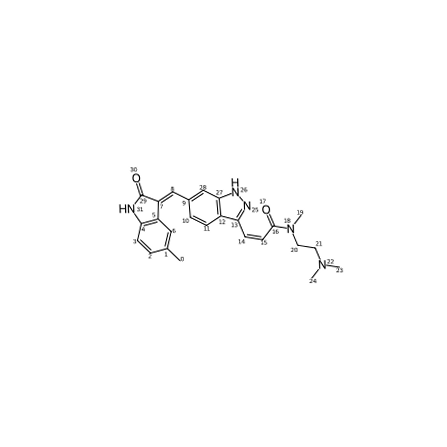 Cc1ccc2c(c1)/C(=C\c1ccc3c(/C=C\C(=O)N(C)CCN(C)C)n[nH]c3c1)C(=O)N2